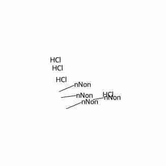 CCCCCCCCCC.CCCCCCCCCC.CCCCCCCCCC.CCCCCCCCCC.Cl.Cl.Cl.Cl